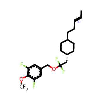 C/C=C/CC[C@H]1CC[C@H](CC(F)(F)OCc2cc(F)c(OC(F)(F)F)c(F)c2)CC1